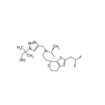 C[C@H]1C[C@@]2(CCN1Cc1cn(C(C)(C)CO)nn1)OCCc1cc(CC(F)F)sc12